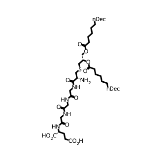 CCCCCCCCCCCCCCCC(=O)OC[C@@H](CSC[C@H](N)C(=O)NCC(=O)NCC(=O)NCC(=O)N[C@H](CCC(=O)O)C(=O)O)OC(=O)CCCCCCCCCCCCCCC